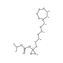 CC(C)OC(=O)OC1(CCCCOCCC2CCCCCC2)CO1